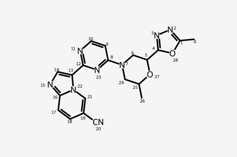 Cc1nnc(C2CN(c3ccnc(-c4cnc5ccc(C#N)cn45)n3)CC(C)O2)o1